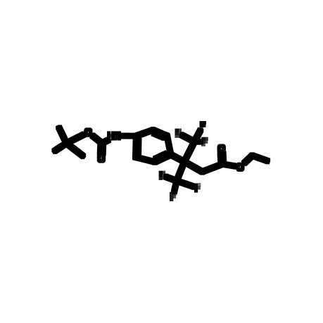 CCOC(=O)CC(c1ccc(NC(=O)OC(C)(C)C)cc1)(C(F)(F)F)C(F)(F)F